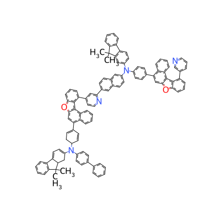 CC1(C)c2ccccc2-c2ccc(N(c3ccc(-c4cc5oc6cccc(-c7cccnc7)c6c5c5ccccc45)cc3)c3ccc4cc(-c5cc(-c6cccc7oc8cc(C9=CCC(N(C%10=CC=C%11c%12ccccc%12C(C)(C)C%11C%10)c%10ccc(-c%11ccccc%11)cc%10)C=C9)c9ccccc9c8c67)ccn5)ccc4c3)cc21